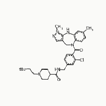 Cc1ccc2c(c1)Nc1c(cnn1C)CN2C(=O)c1ccc(CNC(=O)C2CCN(CCC(C)(C)C)CC2)cc1Cl